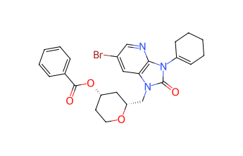 O=C(O[C@H]1CCO[C@@H](Cn2c(=O)n(C3=CCCCC3)c3ncc(Br)cc32)C1)c1ccccc1